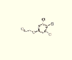 O=[C]COc1cc(Cl)c(Cl)c(Cl)c1